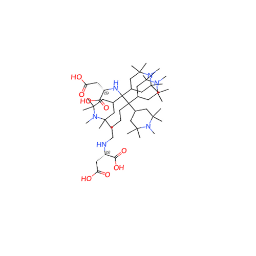 CN1C(C)(C)CC(C(CCCCN[C@@H](CC(=O)O)C(=O)O)(C2CC(C)(C)N(C)C(C)(C)C2)C(N[C@@H](CC(=O)O)C(=O)O)(C2CC(C)(C)N(C)C(C)(C)C2)C2CC(C)(C)N(C)C(C)(C)C2)CC1(C)C